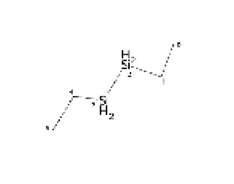 CC[SiH2][SiH2]CC